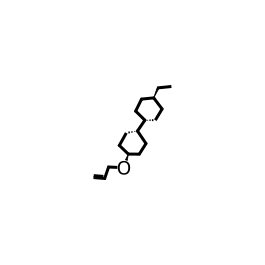 C=CCO[C@H]1CC[C@H]([C@H]2CC[C@H](CC)CC2)CC1